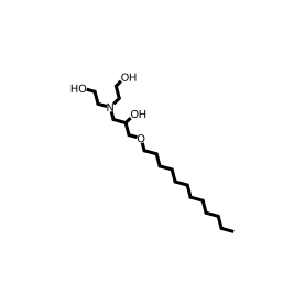 CCCCCCCCCCCCOCC(O)CN(CCO)CCO